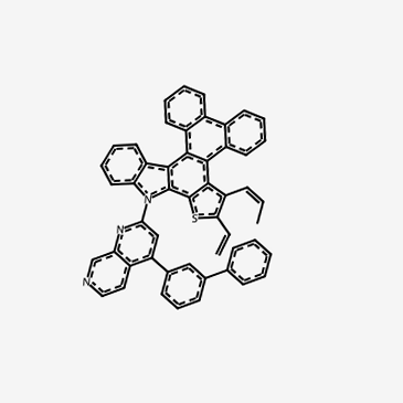 C=Cc1sc2c(c1/C=C\C)c1c3ccccc3c3ccccc3c1c1c3ccccc3n(-c3cc(-c4cccc(-c5ccccc5)c4)c4ccncc4n3)c21